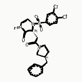 O=C1NC=CN(S(=O)(=O)c2ccc(Cl)c(Cl)c2)[C@@H]1CC(=O)N1CC[C@@H](Cc2ccccc2)C1